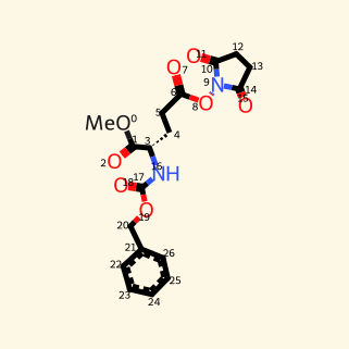 COC(=O)[C@H](CCC(=O)ON1C(=O)CCC1=O)NC(=O)OCc1ccccc1